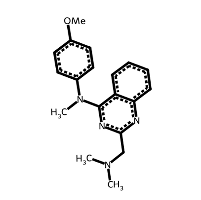 COc1ccc(N(C)c2nc(CN(C)C)nc3ccccc23)cc1